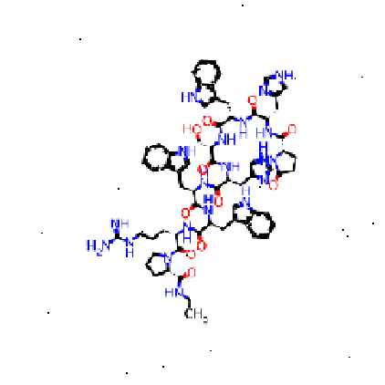 CCNC(=O)[C@@H]1CCCN1C(=O)[C@H](CCCNC(=N)N)NC(=O)[C@H](Cc1c[nH]c2ccccc12)NC(=O)[C@@H](Cc1c[nH]c2ccccc12)NC(=O)[C@H](Cc1c[nH]cn1)NC(=O)[C@H](CO)NC(=O)[C@H](Cc1c[nH]c2ccccc12)NC(=O)[C@H](Cc1c[nH]cn1)NC(=O)[C@@H]1CCC(=O)N1